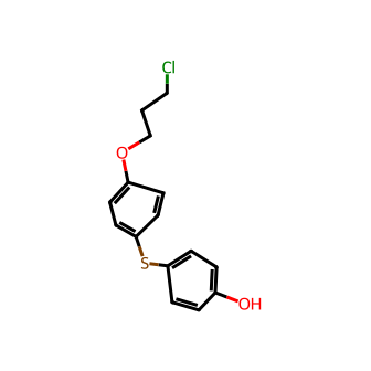 Oc1ccc(Sc2ccc(OCCCCl)cc2)cc1